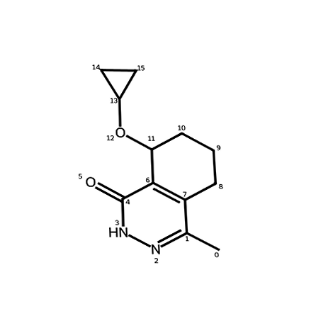 Cc1n[nH]c(=O)c2c1CCCC2OC1CC1